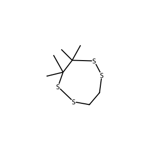 CC1(C)SSCCSSC1(C)C